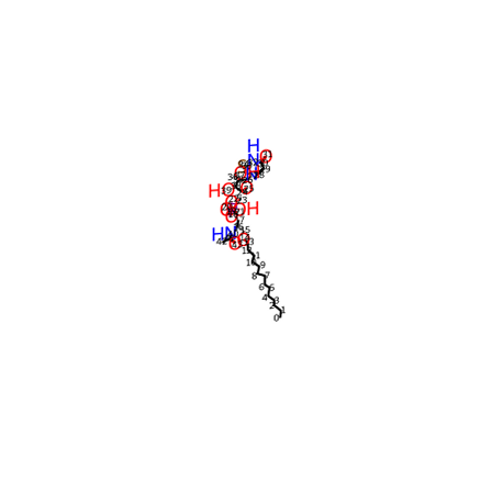 CCCCCCCCCCCCCCOC[C@@H](COP(=O)(O)OC[C@H]1O[C@@H](n2ccc(=O)[nH]c2=S)[C@](C)(O)C1O)NC(C)=O